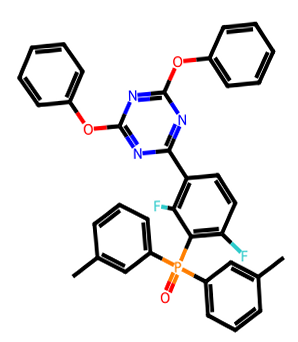 Cc1cccc(P(=O)(c2cccc(C)c2)c2c(F)ccc(-c3nc(Oc4ccccc4)nc(Oc4ccccc4)n3)c2F)c1